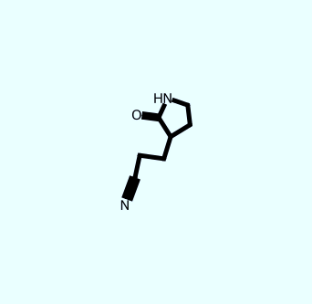 N#CCCC1CCNC1=O